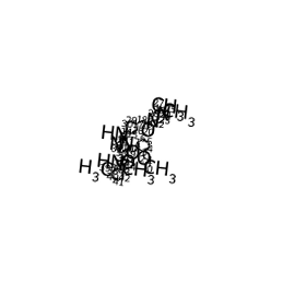 CCOc1ccccc1Oc1nc(Nc2ccc(CC(=O)N3CCN(C)C(C)C3)cc2)ncc1C(=O)Nc1c(C)cccc1C